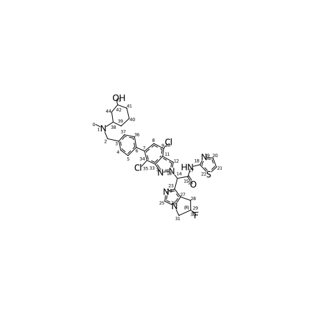 CN(Cc1ccc(-c2cc(Cl)c3cn(C(C(=O)Nc4nccs4)c4ncn5c4C[C@@H](F)C5)nc3c2Cl)cc1)C1CCCC(O)C1